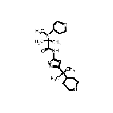 CN(C1CCOCC1)C(C)(C)C(=O)Nc1cc(C(C)(C)C2CCOCC2)no1